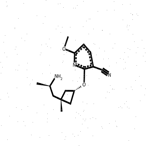 COc1ccc(C#N)c(O[C@H]2C[C@@](C)(C[C@@H](C)N)C2)n1